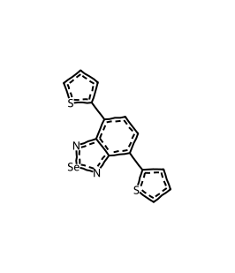 c1csc(-c2ccc(-c3cccs3)c3n[se]nc23)c1